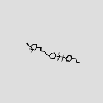 C=CC1CCC(/C=C/CCC2CCC(C(F)(F)C(F)(F)c3ccc(CCC)cc3)CC2)CC1(F)F